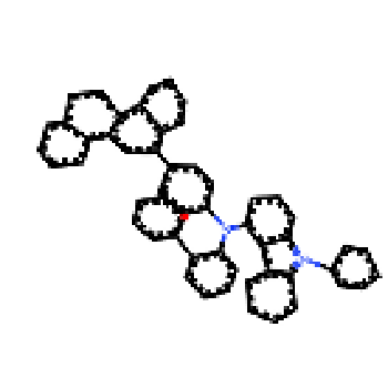 c1ccc(-c2ccccc2N(c2ccc(-c3cc4c5ccccc5ccc4c4ccccc34)cc2)c2cccc3c2c2ccccc2n3-c2ccccc2)cc1